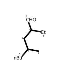 CCCCC(C)CC(C=O)CC